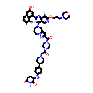 CCc1c(F)ccc2cc(O)cc(-c3nc(N4CCCn5nc(C(=O)N6CCN(C(=O)CN7CCC(c8ccc(NC9CCC(=O)NC9=O)cc8)CC7)CC6)cc5C4)c4cnc(OCCCN5CCOCC5)c(F)c4n3)c12